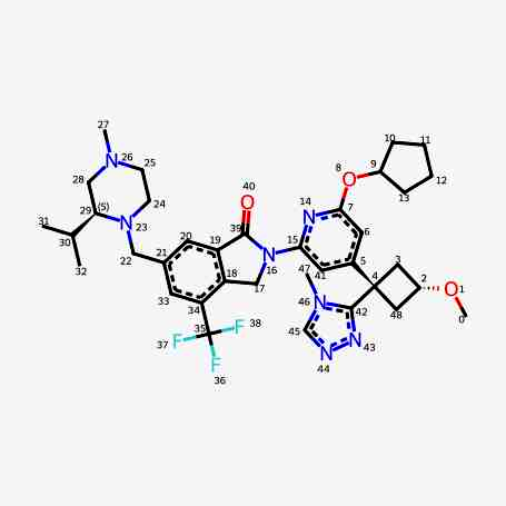 CO[C@H]1C[C@@](c2cc(OC3CCCC3)nc(N3Cc4c(cc(CN5CCN(C)C[C@@H]5C(C)C)cc4C(F)(F)F)C3=O)c2)(c2nncn2C)C1